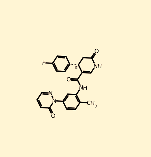 Cc1ccc(-n2ncccc2=O)cc1NC(=O)C1=CNC(=O)C[C@H]1c1ccc(F)cc1